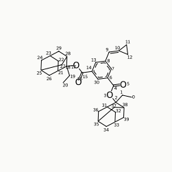 CCC1(OC(=O)c2cc(C=C3CC3)cc(C(=O)OC3(CC)C4CC5CC(C4)CC3C5)c2)C2CC3CC(C2)CC1C3